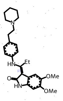 CC/C(Nc1ccc(CCN2CCCCC2)cc1)=C1/C(=O)Nc2cc(OC)c(OC)cc21